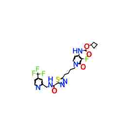 O=C(Nc1ccn(CCCCc2nnc(C(=O)NCc3cc(C(F)(F)F)ccn3)s2)c(=O)c1F)OC1CCC1